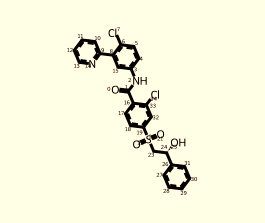 O=C(Nc1ccc(Cl)c(-c2ccccn2)c1)c1ccc(S(=O)(=O)C[C@H](O)c2ccccc2)cc1Cl